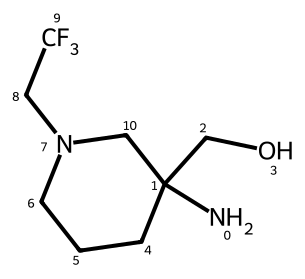 NC1(CO)CCCN(CC(F)(F)F)C1